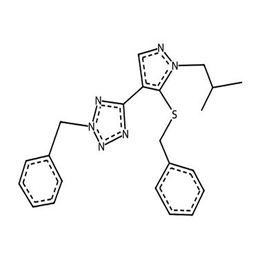 CC(C)Cn1ncc(-c2nnn(Cc3ccccc3)n2)c1SCc1ccccc1